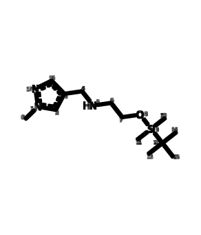 Cn1cc(CNCCO[Si](C)(C)C(C)(C)C)cn1